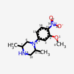 COc1cc(N2CC(C)NCC2C)ccc1[N+](=O)[O-]